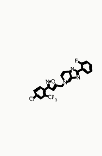 Fc1ccccc1-c1nc2ccn(Cc3cc(-c4ccc(Cl)cc4C(F)(F)F)no3)cc-2n1